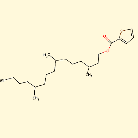 CC(C)CCCC(C)CCCC(C)CCCC(C)CCOC(=O)c1cccs1